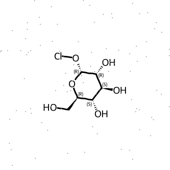 OC[C@H]1O[C@H](OCl)[C@H](O)[C@@H](O)[C@@H]1O